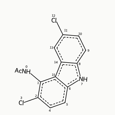 CC(=O)Nc1c(Cl)ccc2[nH]c3ccc(Cl)cc3c12